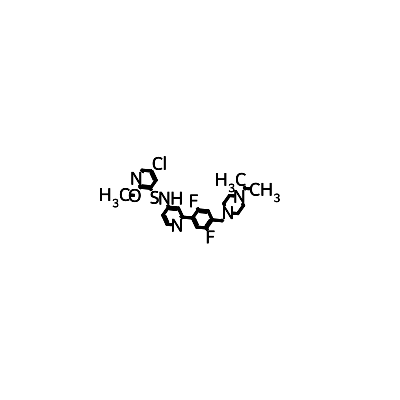 COc1ncc(Cl)cc1SNc1ccnc(-c2cc(F)c(CN3CCN(C(C)C)CC3)cc2F)c1